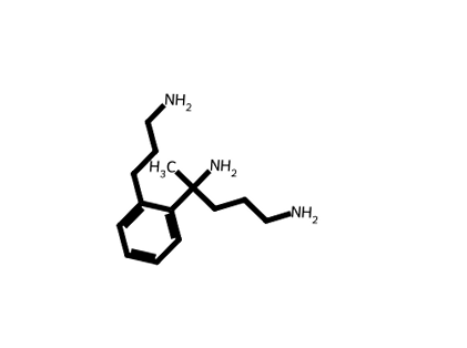 CC(N)(CCCN)c1ccccc1CCCN